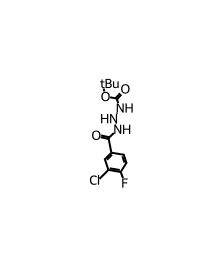 CC(C)(C)OC(=O)NNNC(=O)c1ccc(F)c(Cl)c1